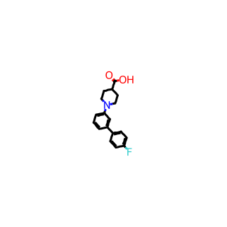 O=C(O)C1CCN(c2cccc(-c3ccc(F)cc3)c2)CC1